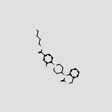 O=C(NCCCCO)c1ccc(N2CCC(N3C(=O)OCc4ccccc43)CC2)c([N+](=O)[O-])c1